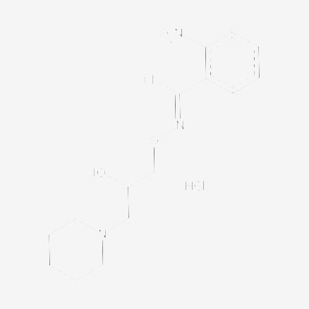 Cl.O=[N+]([O-])c1ccccc1C(Cl)=NOCC(O)CN1CCCCC1